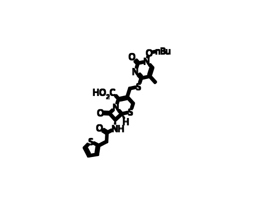 CCCCOn1cc(C)c(SCC2=C(C(=O)O)N3C(=O)[C@@H](NC(=O)Cc4cccs4)[C@@H]3SC2)nc1=O